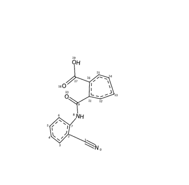 N#Cc1ccccc1NC(=O)c1ccccc1C(=O)O